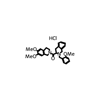 COc1ccccc1CN1Cc2ccccc2CC1C(=O)N1CCc2cc(OC)c(OC)cc2C1.Cl